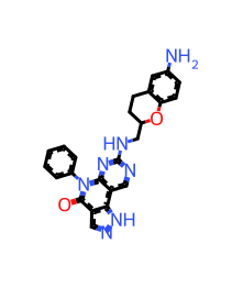 Nc1ccc2c(c1)CCC(CNc1ncc3c4[nH]ncc4c(=O)n(-c4ccccc4)c3n1)O2